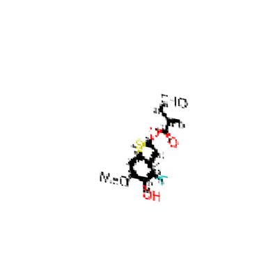 COc1cc2sc(OC(=O)C(C)CC=O)cc2c(F)c1O